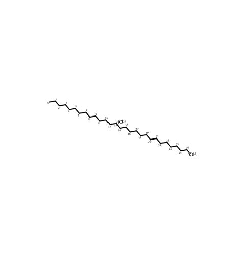 CCCCCCCCCCCCCCCCCCCCCCCCCCCCO.Cl